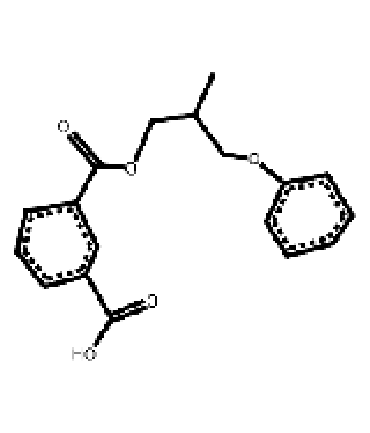 C[C](COC(=O)c1cccc(C(=O)O)c1)COc1ccccc1